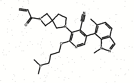 C=CC(=O)N1CC2(CCN(c3c(OCCCN(C)C)ncc(-c4c(C)ccc5cnn(C)c45)c3C#N)C2)C1